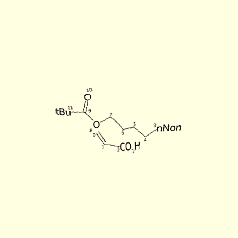 C=CC(=O)O.CCCCCCCCCCCCCOC(=O)C(C)(C)C